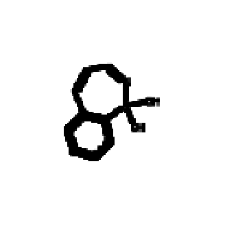 OS1(O)N=CC=Cc2ccccc21